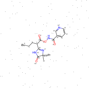 CCC(C)CCC(C(=O)ONC(=O)c1cccnc1)C1=NC(C)(C(C)C)C(=O)N1